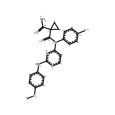 COc1ccc(Nc2nccc(N(C(=O)C3(C(N)=O)CC3)c3ccc(F)cc3)n2)cc1